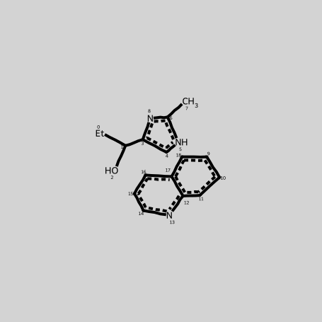 CCC(O)c1c[nH]c(C)n1.c1ccc2ncccc2c1